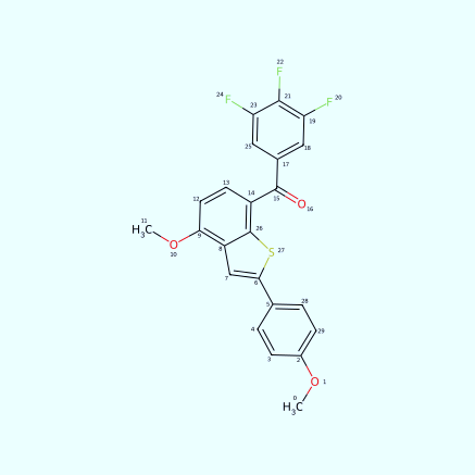 COc1ccc(-c2cc3c(OC)ccc(C(=O)c4cc(F)c(F)c(F)c4)c3s2)cc1